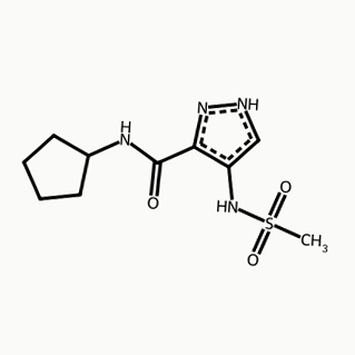 CS(=O)(=O)Nc1c[nH]nc1C(=O)NC1CCCC1